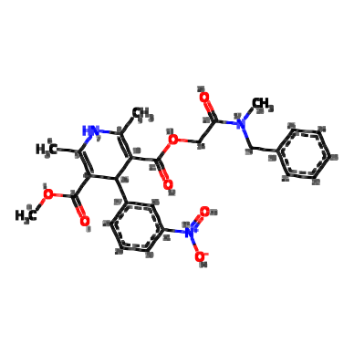 COC(=O)C1=C(C)NC(C)=C(C(=O)OCC(=O)N(C)Cc2ccccc2)C1c1cccc([N+](=O)[O-])c1